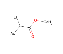 CCC(C(C)=O)C(=O)[O][GeH3]